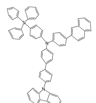 c1ccc([Si](c2ccccc2)(c2ccccc2)c2ccc(N(c3ccc(-c4ccc(-n5c6ccccc6c6ccccc65)cc4)cc3)c3ccc(-c4ccc5ccccc5c4)cc3)cc2)cc1